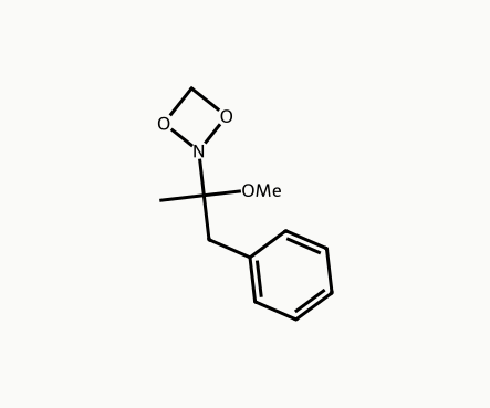 COC(C)(Cc1ccccc1)N1OCO1